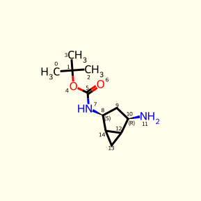 CC(C)(C)OC(=O)N[C@H]1C[C@@H](N)C2CC21